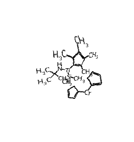 C1=CC[C]([Cr][C]2=CC=CC2)=C1.CC1=C(C)C(C)[C]([Ti]([NH]C(C)(C)C)[SiH](C)C)=C1C